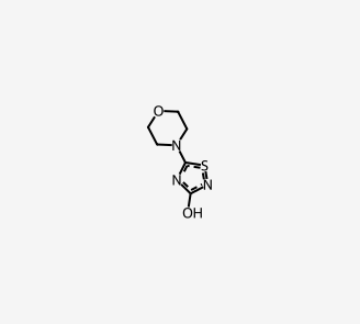 Oc1nsc(N2CCOCC2)n1